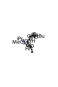 CC[C@H](C)[C@H](NC(=O)OC(C)(C)C)C(=O)OCOC(=O)c1nc(C(=O)NCC2CC2)ccc1/C(C)=C/C(=C/C(C)C)OC